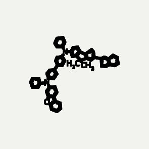 CC1(C)c2cc(-c3ccc4ccccc4c3)ccc2-c2ccc(N(c3ccccc3)c3ccc(-c4ccc(N(c5ccccc5)c5ccc6c(c5)oc5ccccc56)cc4)cc3)cc21